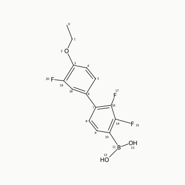 CCOc1ccc(-c2ccc(B(O)O)c(F)c2F)cc1F